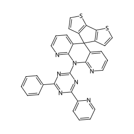 c1ccc(-c2nc(-c3ccccn3)nc(N3c4ncccc4C4(c5cccnc53)c3ccsc3-c3sccc34)n2)cc1